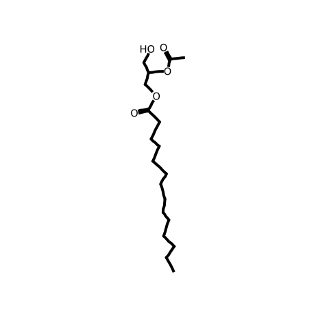 CCCCCCCCCCCCCC(=O)OCC(CO)OC(C)=O